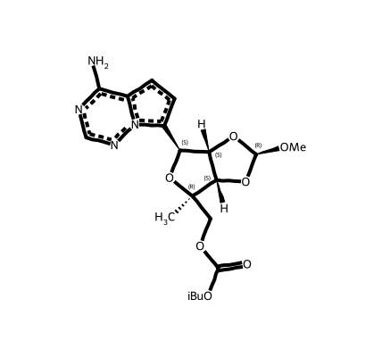 CO[C@@H]1O[C@H]2[C@H](c3ccc4c(N)ncnn34)O[C@](C)(COC(=O)OCC(C)C)[C@H]2O1